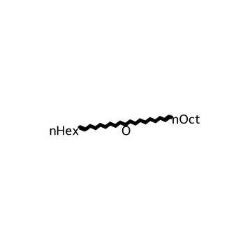 CCCCCCC=CCCCCCCCC(=O)CCCCCCCC=CCCCCCCCC